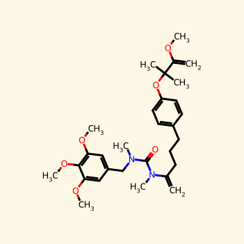 C=C(CCCc1ccc(OC(C)(C)C(=C)OC)cc1)N(C)C(=O)N(C)Cc1cc(OC)c(OC)c(OC)c1